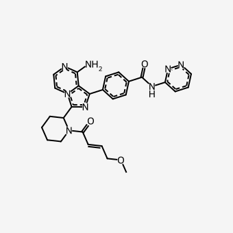 COCC=CC(=O)N1CCCCC1c1nc(-c2ccc(C(=O)Nc3cccnn3)cc2)c2c(N)nccn12